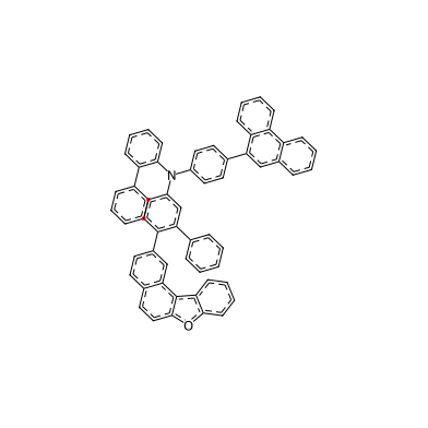 c1ccc(-c2cc(N(c3ccc(-c4cc5ccccc5c5ccccc45)cc3)c3ccccc3-c3ccccc3)ccc2-c2ccc3ccc4oc5ccccc5c4c3c2)cc1